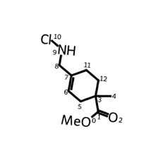 COC(=O)C1(C)CC=C(CNCl)CC1